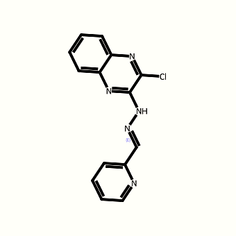 Clc1nc2ccccc2nc1N/N=C/c1ccccn1